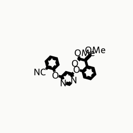 COC=C(C(=O)OC)c1ccccc1Oc1cc(Oc2ccccc2C#N)ncn1